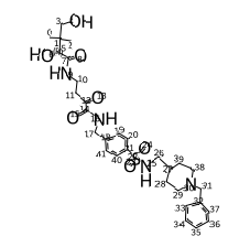 CC(C)(CO)[C@@H](O)C(=O)NCCC(=O)C(=O)NCc1ccc(S(=O)(=O)NCC2CCN(Cc3ccccc3)CC2)cc1